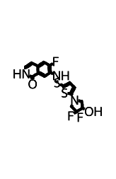 O=c1[nH]ccc2cc(F)c(NSc3ccc(N4CC(O)C(F)(F)C4)s3)cc12